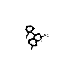 CC(=O)c1cc(-c2ccccc2F)c2ccc(C)cc2n1